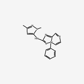 Cc1cc(NC2=N[N+]3(c4ccccc4)C=CN=CC3=N2)n(C)n1